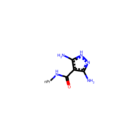 CCCNC(=O)c1c(N)n[nH]c1N